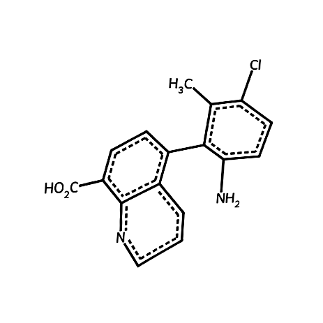 Cc1c(Cl)ccc(N)c1-c1ccc(C(=O)O)c2ncccc12